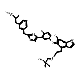 CCCCC(C)(C)CSCCc1c(Oc2ccc(F)c(-c3csc(Cc4cccc(CC(C)C(=O)O)c4)n3)c2)c(F)cc2[nH]ccc12